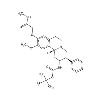 CNC(=O)COc1cc2c(cc1OC)[C@H]1C[C@@H](NC(=O)OC(C)(C)C)[C@H](c3ccccc3)CN1CC2